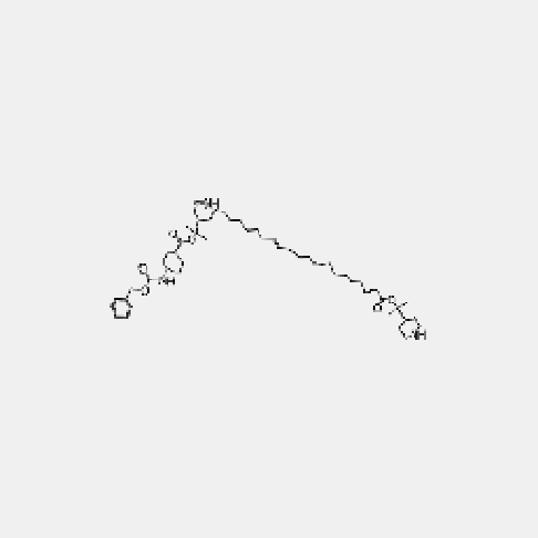 CC(C)(OC(=O)C1CCC(NC(=O)OCc2ccccc2)CC1)C1C=C(CCCCCC/C=C/CCCCCCCCCCCC(=O)OC(C)(C)C2CCNCC2)NCC1